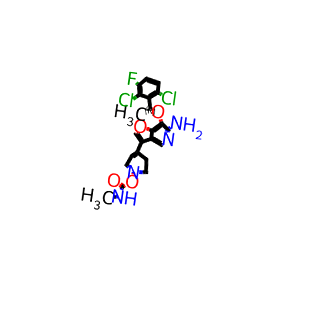 CNC(=O)ON1CC=C(c2coc3c(O[C@H](C)c4c(Cl)ccc(F)c4Cl)c(N)ncc23)CC1